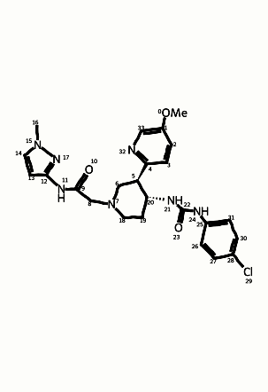 COc1ccc([C@@H]2CN(CC(=O)Nc3ccn(C)n3)CC[C@H]2NC(=O)Nc2ccc(Cl)cc2)nc1